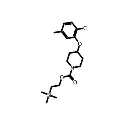 Cc1ccc(Cl)c(OC2CCN(C(=O)OCC[Si](C)(C)C)CC2)c1